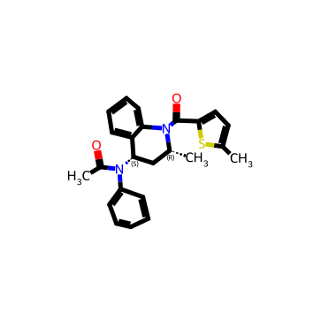 CC(=O)N(c1ccccc1)[C@H]1C[C@@H](C)N(C(=O)c2ccc(C)s2)c2ccccc21